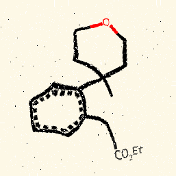 CCOC(=O)Cc1ccccc1C1(C)CCOCC1